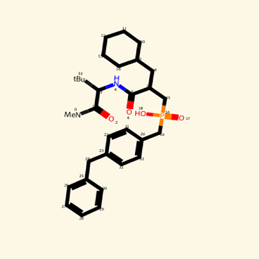 CNC(=O)C(NC(=O)C(CC1CCCCC1)CP(=O)(O)Cc1ccc(Cc2ccccc2)cc1)C(C)(C)C